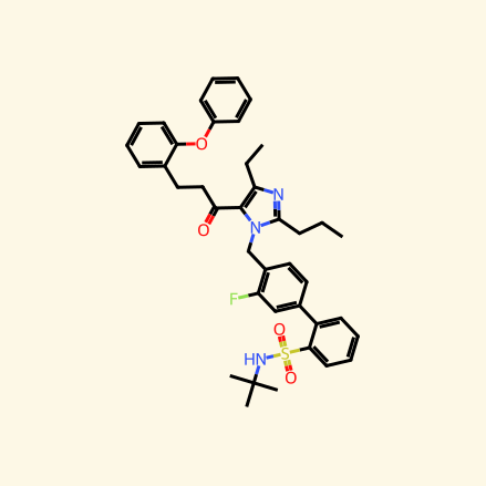 CCCc1nc(CC)c(C(=O)CCc2ccccc2Oc2ccccc2)n1Cc1ccc(-c2ccccc2S(=O)(=O)NC(C)(C)C)cc1F